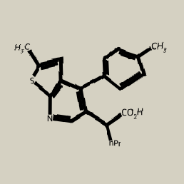 CCCC(C(=O)O)c1cnc2sc(C)cc2c1-c1ccc(C)cc1